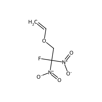 C=COCC(F)([N+](=O)[O-])[N+](=O)[O-]